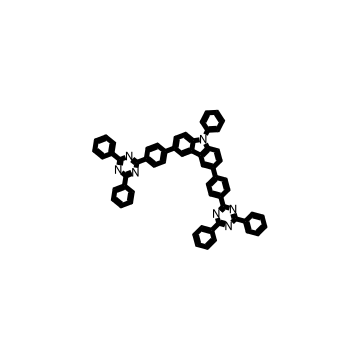 c1ccc(-c2nc(-c3ccccc3)nc(-c3ccc(-c4ccc5c(c4)c4cc(-c6ccc(-c7nc(-c8ccccc8)nc(-c8ccccc8)n7)cc6)ccc4n5-c4ccccc4)cc3)n2)cc1